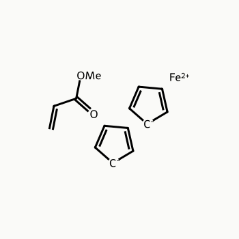 C=CC(=O)OC.[Fe+2].c1cc[cH-]c1.c1cc[cH-]c1